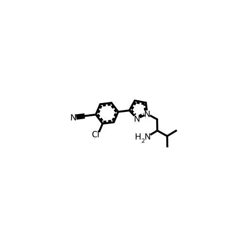 CC(C)C(N)Cn1ccc(-c2ccc(C#N)c(Cl)c2)n1